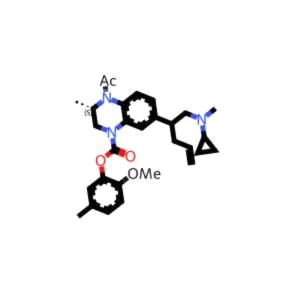 C=CCC(CN(C)C1CC1)c1ccc2c(c1)N(C(=O)Oc1cc(C)ccc1OC)C[C@H](C)N2C(C)=O